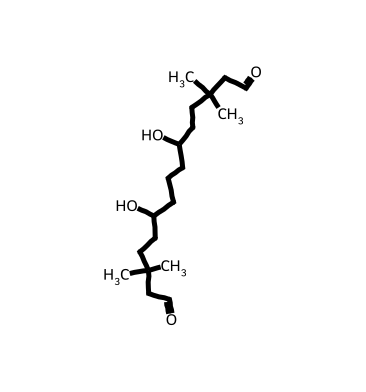 CC(C)(CC=O)CCC(O)CCCC(O)CCC(C)(C)CC=O